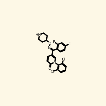 O=c1ccc(C(=NOC2CCNCC2)c2ccc(F)cc2F)cn1-c1c(Cl)cccc1Cl